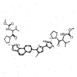 COC(=O)NC(C(=O)N1CCC[C@H]1c1ncc(-c2cc(C)c(-c3ccc4c(ccc5nc([C@@H]6CCCN6C(=O)C(NC(=O)OC)C(C)C)[nH]c54)c3)s2)[nH]1)C(C)C